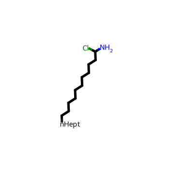 CCCCCCCCCCCCCCCCCC(N)Cl